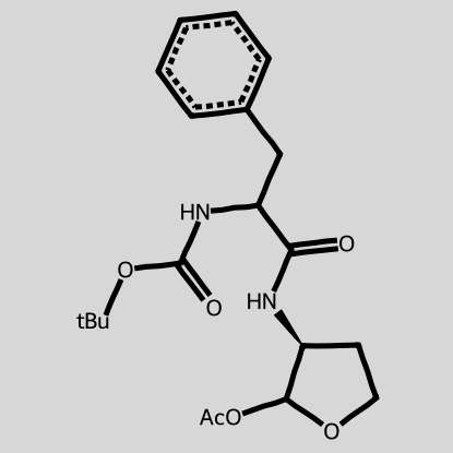 CC(=O)OC1OCC[C@@H]1NC(=O)C(Cc1ccccc1)NC(=O)OC(C)(C)C